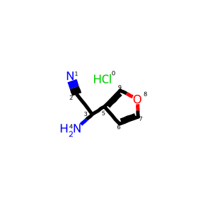 Cl.N#CC(N)c1ccoc1